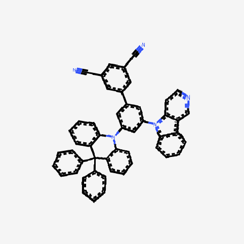 N#Cc1cc(C#N)cc(-c2cc(N3c4ccccc4C(c4ccccc4)(c4ccccc4)c4ccccc43)cc(-n3c4ccccc4c4cnccc43)c2)c1